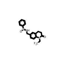 O=C1CCc2cc(CN[S+]([O-])c3ccccc3)ccc2N1CC(F)(F)F